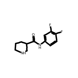 O=C(Nc1ccc(F)c(F)c1)C1CCCNC1